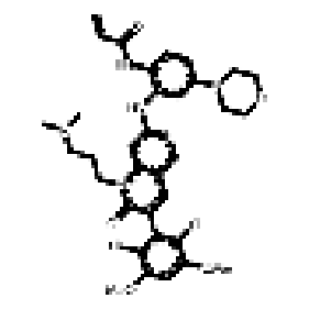 C=CC(=O)Nc1ccc(N2CCOCC2)cc1Nc1cc2c(cn1)cc(-c1c(Cl)c(OC)cc(OC)c1Cl)c(=O)n2CCCN(C)C